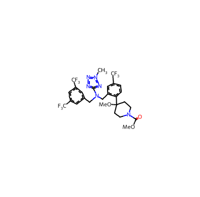 COC(=O)N1CCC(OC)(c2ccc(C(F)(F)F)cc2CN(Cc2cc(C(F)(F)F)cc(C(F)(F)F)c2)c2nnn(C)n2)CC1